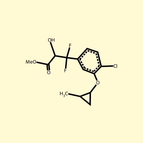 COC(=O)C(O)C(F)(F)c1ccc(Cl)c(OC2CC2C)c1